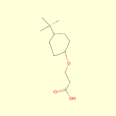 CC(C)(C)C1CCC(OCCC(=O)O)CC1